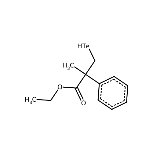 CCOC(=O)C(C)(C[TeH])c1ccccc1